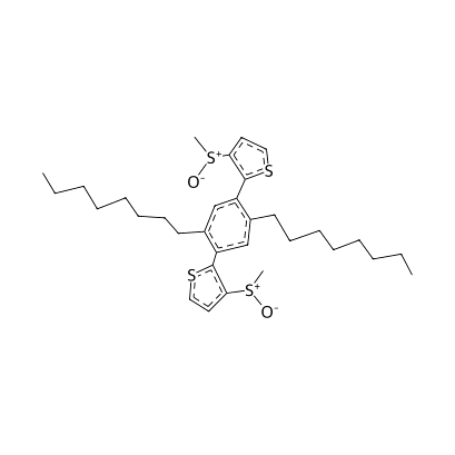 CCCCCCCCc1cc(-c2sccc2[S+](C)[O-])c(CCCCCCCC)cc1-c1sccc1[S+](C)[O-]